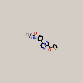 O=C(c1cccs1)c1cnn2c(-c3cccc(NC(=O)C(Cl)(Cl)Cl)c3)ccnc12